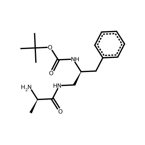 C[C@@H](N)C(=O)NC[C@H](Cc1ccccc1)NC(=O)OC(C)(C)C